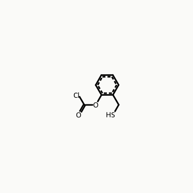 O=C(Cl)Oc1ccccc1CS